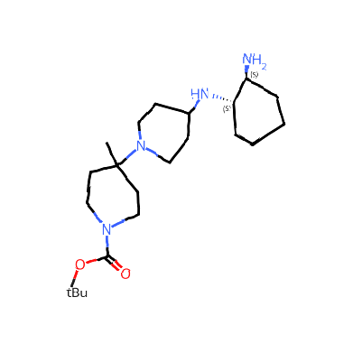 CC(C)(C)OC(=O)N1CCC(C)(N2CCC(N[C@H]3CCCC[C@@H]3N)CC2)CC1